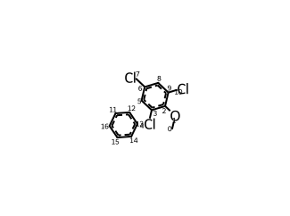 COc1c(Cl)cc(Cl)cc1Cl.c1ccccc1